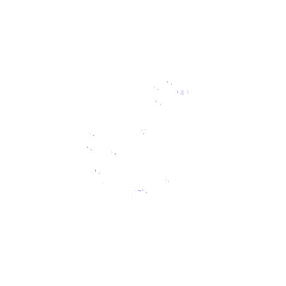 COc1c(-c2nnn[nH]2)ccc(F)c1-c1ccc(N[C@H]2CC[C@H](Nc3ncc(C4CC4)nn3)C2)nc1